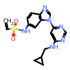 C=CS(=O)(=O)Nc1ccc2ncn(-c3cc(NCC4CC4)ncn3)c2c1